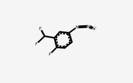 [N-]=[N+]=Nc1ccc(F)c(C(F)F)c1